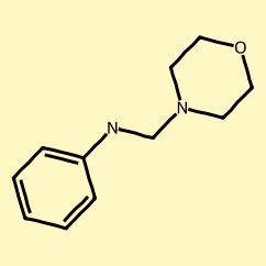 c1ccc([N]CN2CCOCC2)cc1